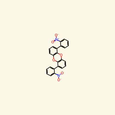 O=[N+]([O-])c1ccccc1-c1cccc2c1Oc1cccc(-c3ccccc3[N+](=O)[O-])c1O2